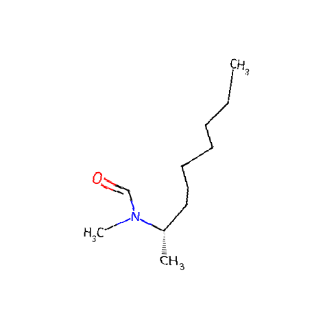 CCCCCC[C@H](C)N(C)C=O